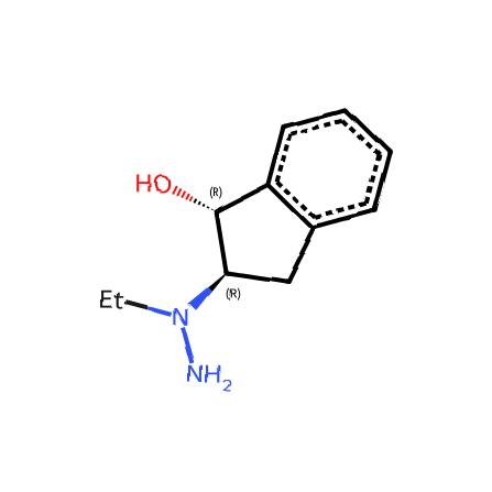 CCN(N)[C@@H]1Cc2ccccc2[C@H]1O